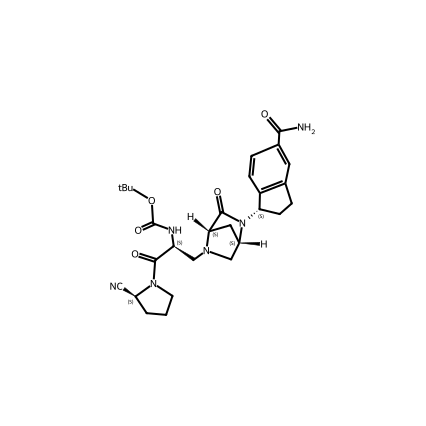 CC(C)(C)OC(=O)N[C@@H](CN1C[C@@H]2C[C@H]1C(=O)N2[C@H]1CCc2cc(C(N)=O)ccc21)C(=O)N1CCC[C@H]1C#N